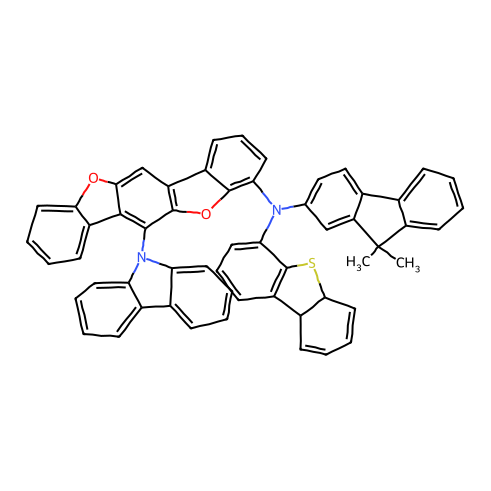 CC1(C)c2ccccc2-c2ccc(N(c3cccc4c3SC3C=CC=CC43)c3cccc4c3oc3c(-n5c6ccccc6c6ccccc65)c5c(cc34)oc3ccccc35)cc21